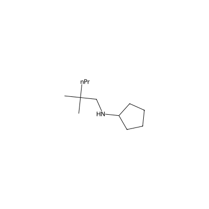 CCCC(C)(C)CNC1CCCC1